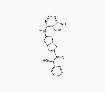 CN(c1ncnc2[nH]ccc12)C1CC2CN(C(=O)[C@H](O)c3ccccc3)CC2C1